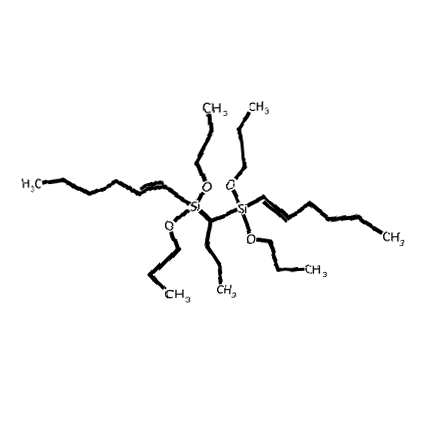 CCCCC=C[Si](OCCC)(OCCC)C(CCC)[Si](C=CCCCC)(OCCC)OCCC